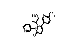 CC(CO)N1C(c2ccc(C(F)(F)F)nc2)=CCC(=O)N1c1cccnc1